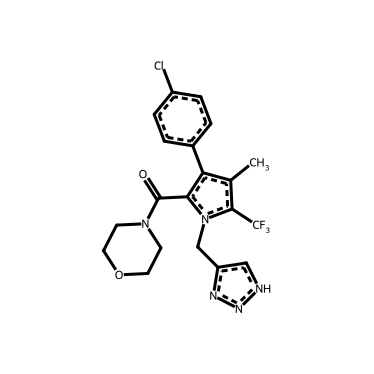 Cc1c(-c2ccc(Cl)cc2)c(C(=O)N2CCOCC2)n(Cc2c[nH]nn2)c1C(F)(F)F